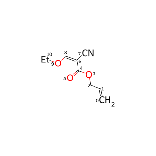 C=CCOC(=O)C(C#N)=COCC